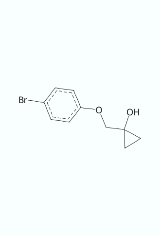 OC1(COc2ccc(Br)cc2)CC1